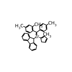 Cc1ccc([C](c2ccc(C)cc2C)=[Zr]([C]2=CC=CC2)[CH]2c3ccccc3-c3ccccc32)c(C)c1